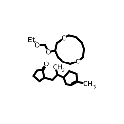 CC1=CCC(C(C)CC2CCCC2=O)CC1.CCOCOC1CCCCCCCCCCC1